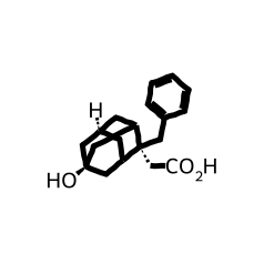 O=C(O)C[C@]1(Cc2ccccc2)C2C[C@@H]3CC1C[C@](O)(C2)C3